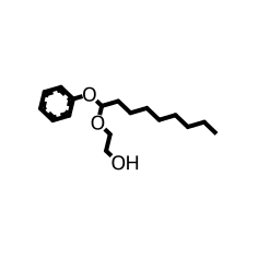 CCCCCCCCC(OCCO)Oc1ccccc1